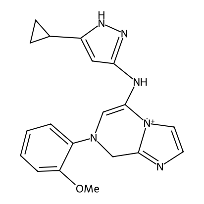 COc1ccccc1N1C=C(Nc2cc(C3CC3)[nH]n2)[N+]2C=CN=C2C1